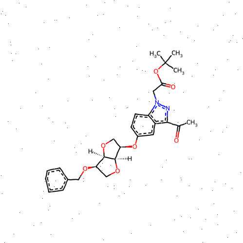 CC(=O)c1nn(CC(=O)OC(C)(C)C)c2ccc(O[C@@H]3CO[C@H]4[C@@H]3OC[C@H]4OCc3ccccc3)cc12